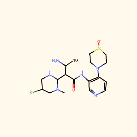 CN1CC(Cl)CNC1C(C(=O)Nc1cnccc1N1CC[S+]([O-])CC1)C(N)N=O